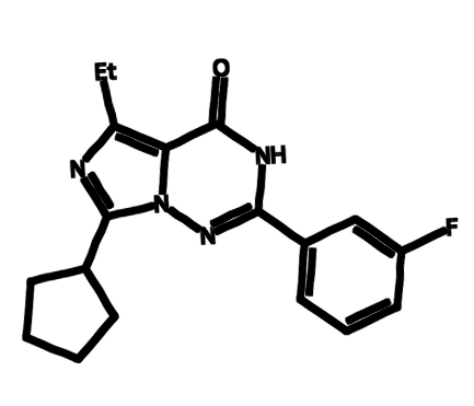 CCc1nc(C2CCCC2)n2nc(-c3cccc(F)c3)[nH]c(=O)c12